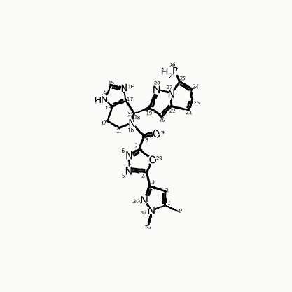 Cc1cc(-c2nnc(C(=O)N3CCc4[nH]cnc4[C@H]3c3cc4cccc(P)n4n3)o2)nn1C